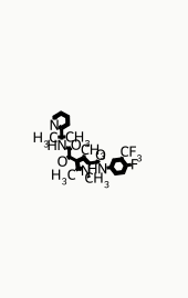 Cc1c(C(=O)C(=O)NC(C)(C)c2ccccn2)c(C)n(C)c1C(=O)Nc1ccc(F)c(C(F)(F)F)c1